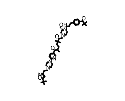 CC(CCC(C)(C)C(=O)CN1CCN(CCCc2ccc(C(=O)C(C)(C)C)cc2)[C@@H](CO)C1)C(=O)c1ccc(N2CCN(CCc3cc(C(C)(C)C)on3)CC2)nc1